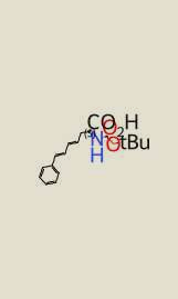 CC(C)(C)OC(=O)N[C@@H](CC=CC=Cc1ccccc1)C(=O)O